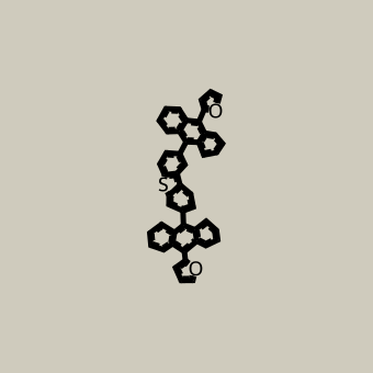 c1coc(-c2c3ccccc3c(-c3ccc4c(c3)sc3ccc(-c5c6ccccc6c(-c6ccco6)c6ccccc56)cc34)c3ccccc23)c1